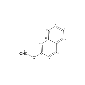 O=[C]Oc1ccc2ccccc2c1